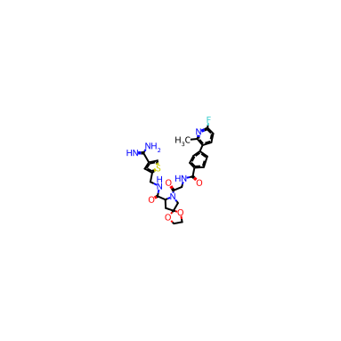 Cc1nc(F)ccc1-c1ccc(C(=O)NCC(=O)N2CC3(CC2C(=O)NCc2cc(C(=N)N)cs2)OCCO3)cc1